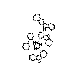 c1ccc(-c2ccccc2-c2nc(-c3cccc4sc5ccccc5c34)nc(-c3ccc(-n4c5ccccc5c5cc6ccccc6cc54)c4oc5ccccc5c34)n2)cc1